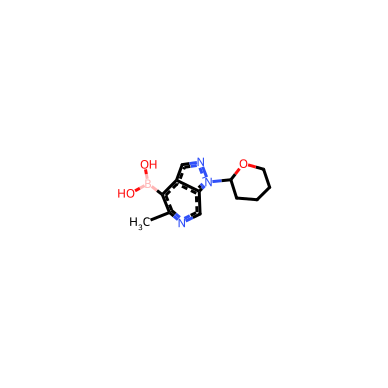 Cc1ncc2c(cnn2C2CCCCO2)c1B(O)O